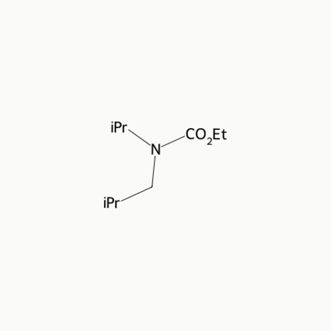 CCOC(=O)N(CC(C)C)C(C)C